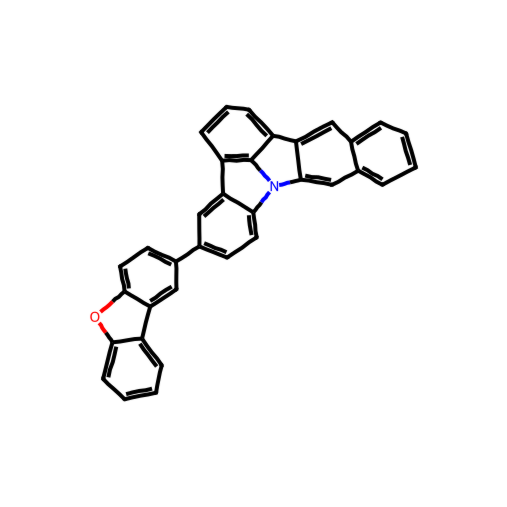 c1ccc2cc3c(cc2c1)c1cccc2c4cc(-c5ccc6oc7ccccc7c6c5)ccc4n3c21